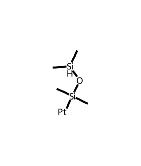 C[SiH](C)O[Si](C)(C)[Pt]